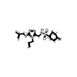 C=CCn1c(CNS(=O)(=O)c2ccc(F)cc2)nnc1SCC(=C)C